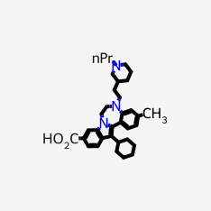 CCCN1CCCC(CCN2CCn3c(c(C4CCCCC4)c4ccc(C(=O)O)cc43)-c3ccc(C)cc32)C1